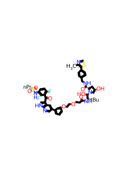 CCCS(=O)(=O)Nc1ccc(F)c(C(=O)c2c[nH]c3ncc(-c4cccc(OCCOCCC(=O)N[C@H](C(O)N5C[C@H](O)C[C@H]5C(=O)NCc5ccc(-c6scnc6C)cc5)C(C)(C)C)c4)cc23)c1F